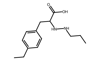 CCCNNC(Cc1ccc(CC)cc1)C(=O)O